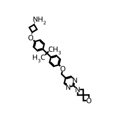 CC(C)(c1ccc(OCc2cnc(N3CC4(COC4)C3)nc2)cc1)c1ccc(O[C@H]2C[C@@H](N)C2)cc1